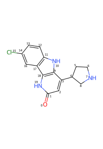 O=c1cc(C2CCNC2)c2[nH]c3ccc(Cl)cc3c2[nH]1